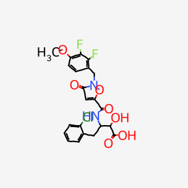 COc1ccc(Cn2oc(C(=O)NC(Cc3ccccc3Cl)C(O)C(=O)O)cc2=O)c(F)c1F